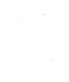 COc1cc(CCN)c(-c2ccc[nH]c2=O)cc1C(C)(C)C